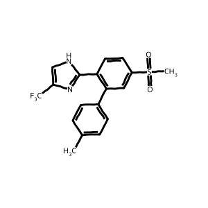 Cc1ccc(-c2cc(S(C)(=O)=O)ccc2-c2nc(C(F)(F)F)c[nH]2)cc1